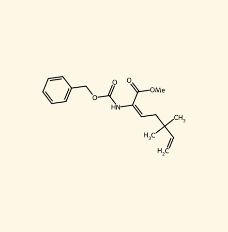 C=CC(C)(C)CC=C(NC(=O)OCc1ccccc1)C(=O)OC